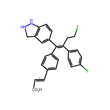 O=C(O)/C=C/c1ccc(/C(=C(/CCF)c2ccc(F)cc2)c2ccc3c(c2)CNN3)cc1